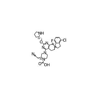 N#CC[C@H]1CN(c2nc(OC[C@@H]3CCCN3)nc3c2CC[C@@]2(CCc4c(Cl)cccc42)[C@H]3F)CCN1C(=O)O